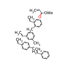 C=CC(=O)OC.C=Cc1ccc(C)cc1.C=Cc1cccc(C)c1.C=Cc1ccccc1.C=Cc1ccccc1C